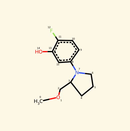 COCC1CCCN1c1ccc(F)c(O)c1